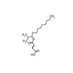 CCCCCCCCCC(OC(=O)C=CC(=O)O)C(C)C